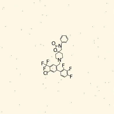 O=C1OC2(CCN(Cc3cc(C(F)(F)F)c(Cl)cc3-c3ccc(F)c(F)c3F)CC2)CN1c1ccccc1